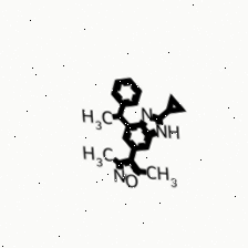 Cc1noc(C)c1-c1cc(C(C)c2ccccc2)c2nc(C3CC3)[nH]c2c1